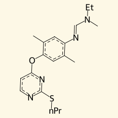 CCCSc1nccc(Oc2cc(C)c(N=CN(C)CC)cc2C)n1